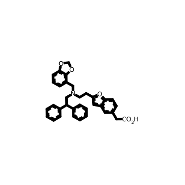 O=C(O)Cc1ccc2oc(CCN(Cc3cccc4c3OCO4)CC(c3ccccc3)c3ccccc3)cc2c1